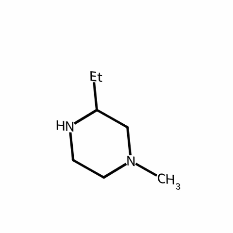 CCC1CN(C)CCN1